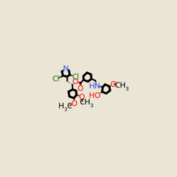 COc1ccc(O)c(NCc2cccc(C(=O)O[C@@H](Cc3c(Cl)cncc3Cl)c3ccc(OC)c(OC)c3)c2)c1